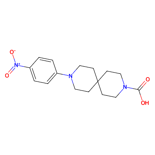 O=C(O)N1CCC2(CC1)CCN(c1ccc([N+](=O)[O-])cc1)CC2